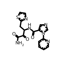 NC(=O)C(=O)C(Cc1nccs1)NC(=O)c1cncn1-c1ccccn1